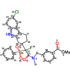 COC(=O)c1cccc(CN(C)C(=O)C(F)(C2CCc3c([nH]c4ccc(Cl)cc34)C2)S(=O)(=O)c2ccccc2)c1